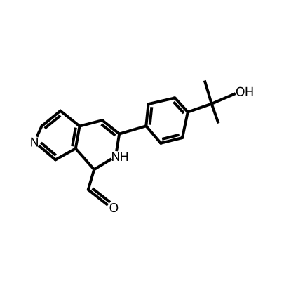 CC(C)(O)c1ccc(C2=Cc3ccncc3C(C=O)N2)cc1